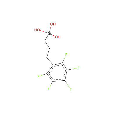 O[Si](O)(O)CCCc1c(F)c(F)c(F)c(F)c1F